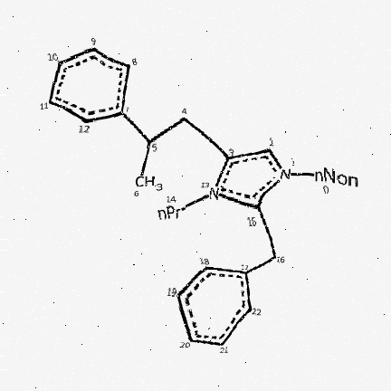 CCCCCCCCCn1cc(CC(C)c2ccccc2)[n+](CCC)c1Cc1ccccc1